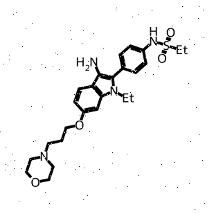 CCn1c(-c2ccc(NS(=O)(=O)CC)cc2)c(N)c2ccc(OCCCN3CCOCC3)cc21